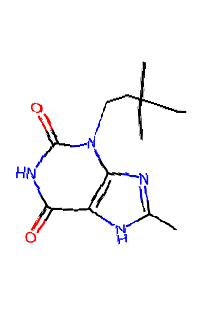 Cc1nc2c([nH]1)c(=O)[nH]c(=O)n2CC(C)(C)C